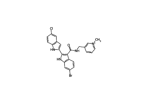 C[n+]1cccc(CNC(=O)c2c(-c3cc4cc(Cl)ccc4[nH]3)[nH]c3cc(Br)ccc23)c1